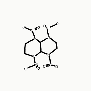 O=[N+]([O-])N1CCN([N+](=O)[O-])C2C1N([N+](=O)[O-])CCN2[N+](=O)[O-]